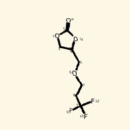 O=C1OCC(COCCC(F)(F)F)O1